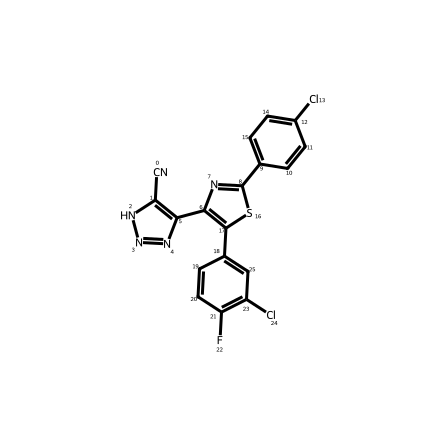 N#Cc1[nH]nnc1-c1nc(-c2ccc(Cl)cc2)sc1-c1ccc(F)c(Cl)c1